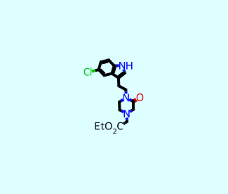 CCOC(=O)CN1CCN(CCc2c[nH]c3ccc(Cl)cc23)C(=O)C1